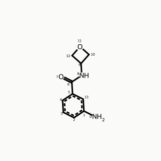 Nc1cccc(C(=O)NC2COC2)c1